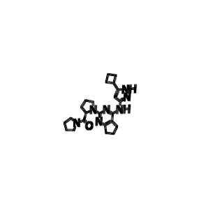 O=C([C@H]1CCCN1c1nc2c(c(Nc3cc(C4CCC4)[nH]n3)n1)CCC2)N1CCCC1